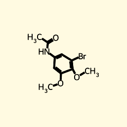 COc1cc(NC(C)=O)cc(Br)c1OC